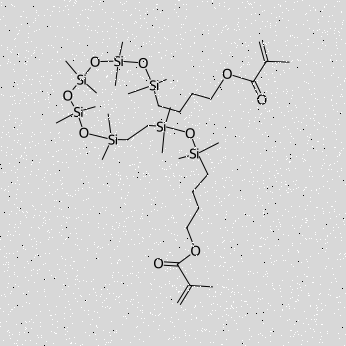 C=C(C)C(=O)OCCCC[Si](C)(C)O[Si](C)(C)CC[Si](C)(C)O[Si](C)(C)O[Si](C)(C)O[Si](C)(C)O[Si](C)(C)CCCCOC(=O)C(=C)C